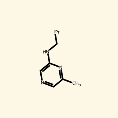 Cc1cncc(NCC(C)C)n1